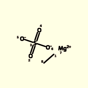 CC.O=S(=O)([O-])[O-].[Mg+2]